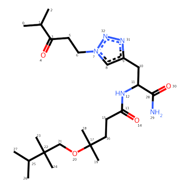 CC(C)C(=O)CCn1cc(CC(NC(=O)CCC(C)(C)OCC(C)(C)C(C)C)C(N)=O)nn1